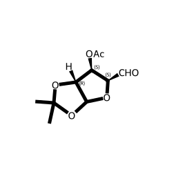 CC(=O)O[C@H]1[C@@H](C=O)OC2OC(C)(C)O[C@@H]21